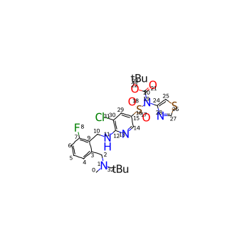 CN(Cc1cccc(F)c1CNc1ncc(S(=O)(=O)N(C(=O)OC(C)(C)C)c2cscn2)cc1Cl)C(C)(C)C